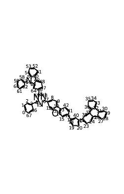 c1ccc(-c2nc(-c3ccc4c(c3)oc3cc(-c5cccc(-c6ccc7c8ccccc8c8ccccc8c7c6)c5)ccc34)nc(-c3ccc4c5ccccc5n(-c5ccccc5)c4c3)n2)cc1